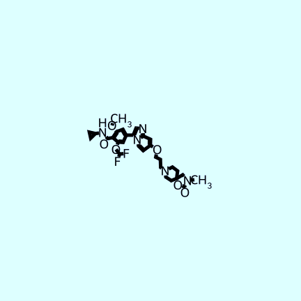 COc1cc(-c2cnc3cc(OCCCN4CCC5(CC4)CN(C)C(=O)O5)ccn23)cc(OC(F)F)c1C(=O)NC1CC1